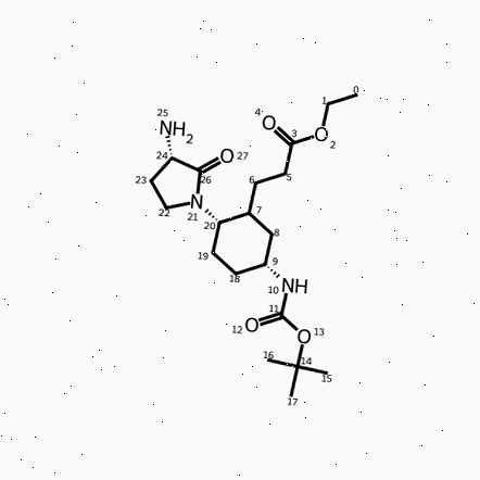 CCOC(=O)CCC1C[C@H](NC(=O)OC(C)(C)C)CC[C@@H]1N1CC[C@H](N)C1=O